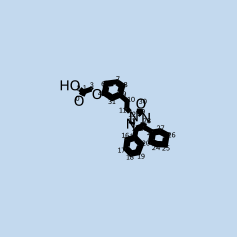 O=C(O)COc1cccc(CCn2nc(-c3ccccc3)c(-c3ccccc3)nc2=O)c1